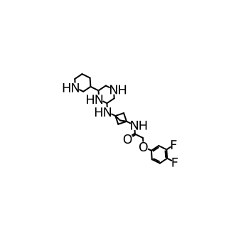 O=C(COc1ccc(F)c(F)c1)NC12CC(NC3CNCC(C4CCCNC4)N3)(C1)C2